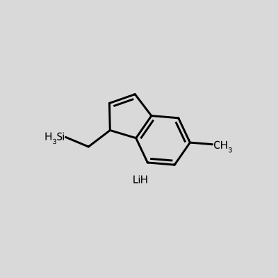 Cc1ccc2c(c1)C=CC2C[SiH3].[LiH]